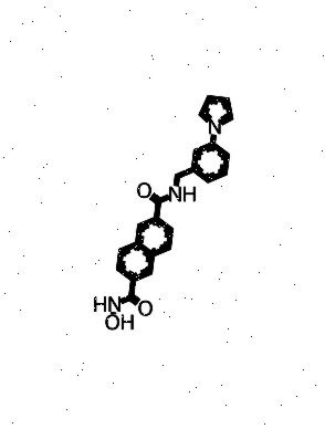 O=C(NO)c1ccc2cc(C(=O)NCc3cccc(-n4cccc4)c3)ccc2c1